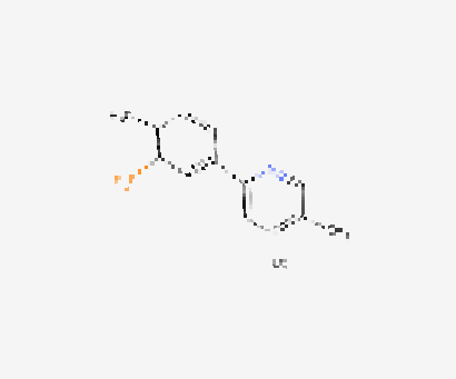 CCc1cc(-c2ccc(C)c(P)c2)ncc1C